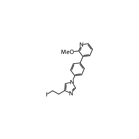 COc1ncccc1-c1ccc(-n2cnc(CCI)c2)cc1